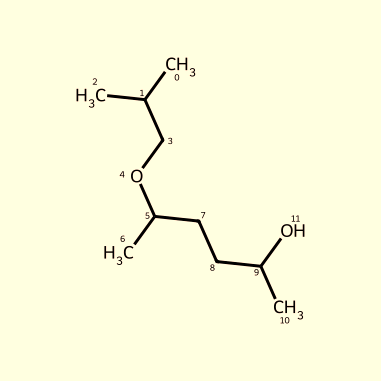 CC(C)COC(C)CCC(C)O